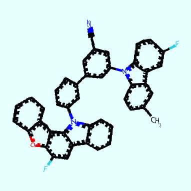 Cc1ccc2c(c1)c1cc(F)ccc1n2-c1cc(C#N)cc(-c2cccc(-n3c4ccccc4c4cc(F)c5oc6ccccc6c5c43)c2)c1